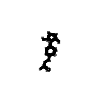 CC(=O)CCc1ccc(-n2c(C)ccc2C)nc1